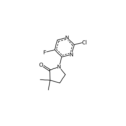 CC1(C)CCN(c2nc(Cl)ncc2F)C1=O